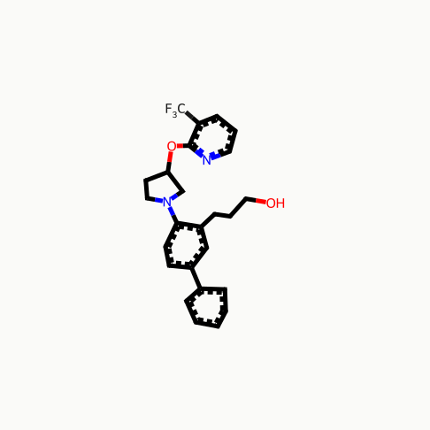 OCCCc1cc(-c2ccccc2)ccc1N1CCC(Oc2ncccc2C(F)(F)F)C1